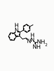 Cc1ccc(-c2[nH]c3ccccc3c2CC=NNC(=N)N)cc1